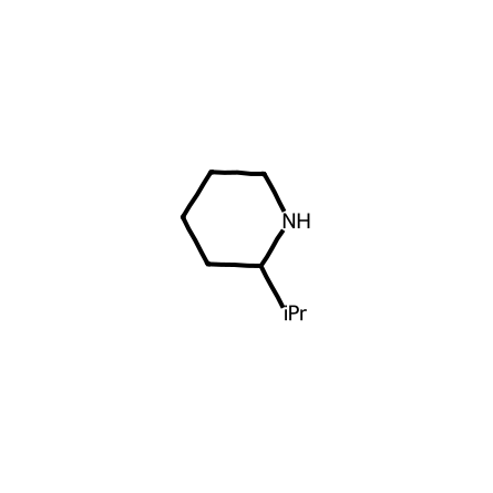 [CH2]C(C)C1CCCCN1